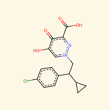 O=C(O)c1nn(CC(c2ccc(Cl)cc2)C2CC2)cc(O)c1=O